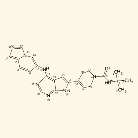 CC(C)(C)NC(=O)N1CC=C(c2cc3c(Nc4ccc5cncn5c4)ncnc3[nH]2)CC1